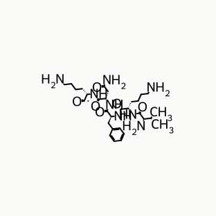 CC(C)[C@H](N)C(=O)N[C@@H](CCCCN)C(=O)N[C@@H](Cc1ccccc1)C(=O)N[C@@H](CC(N)=O)C(=O)N[C@H]([C]=O)CCCCN